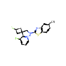 N#Cc1ccc2sc(NCC3(c4ncccc4F)CC(F)C3)nc2c1